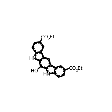 CCOC(=O)c1ccc2[nH]c3c(O)c4[nH]c5ccc(C(=O)OCC)cc5c4cc3c2c1